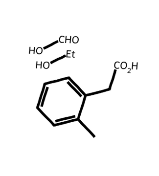 CCO.Cc1ccccc1CC(=O)O.O=CO